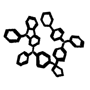 c1ccc(N(c2ccc(C3CCCCC3)cc2)c2ccc(C3(c4ccc(N(c5ccccc5)c5ccc6c7ccccc7n(-c7ccccc7)c6c5)cc4)CCCC3)cc2)cc1